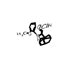 COc1ccccc1NC(C=O)C12CC3CC(CC(C3)C1)C2.Cl